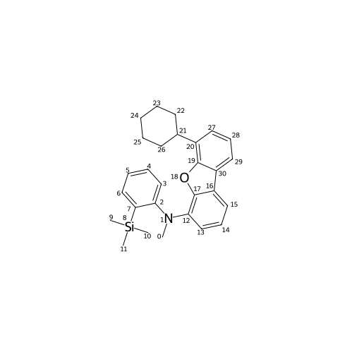 CN(c1ccccc1[Si](C)(C)C)c1cccc2c1oc1c(C3CCCCC3)cccc12